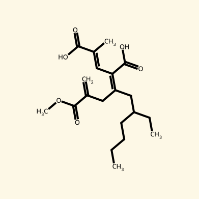 C=C(CC(CC(CC)CCCC)=C(C=C(C)C(=O)O)C(=O)O)C(=O)OC